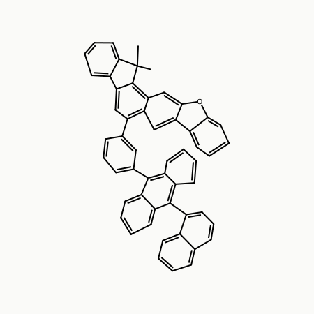 CC1(C)c2ccccc2-c2cc(-c3cccc(-c4c5ccccc5c(-c5cccc6ccccc56)c5ccccc45)c3)c3cc4c(cc3c21)oc1ccccc14